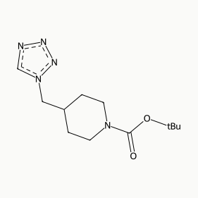 CC(C)(C)OC(=O)N1CCC(Cn2cnnn2)CC1